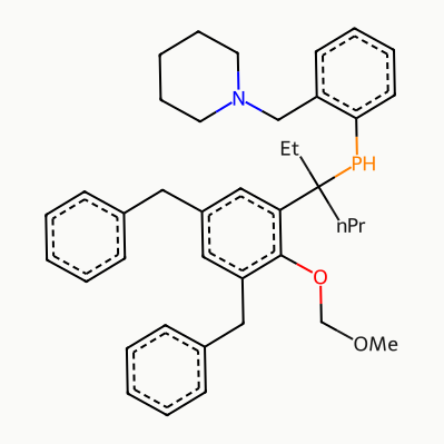 CCCC(CC)(Pc1ccccc1CN1CCCCC1)c1cc(Cc2ccccc2)cc(Cc2ccccc2)c1OCOC